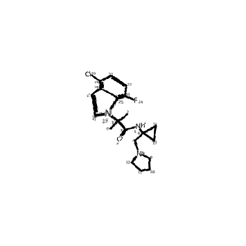 CC(C)(C(=O)NC1(CN2CCCC2)CC1)n1ccc2c(Cl)ccc(F)c21